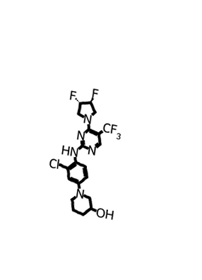 OC1CCCN(c2ccc(Nc3ncc(C(F)(F)F)c(N4C[C@H](F)[C@@H](F)C4)n3)c(Cl)c2)C1